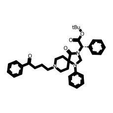 CC(C)(C)OC(=O)[C@H](c1ccccc1)N1CN(c2ccccc2)C2(CCN(CCCC(=O)c3ccccc3)CC2)C1=O